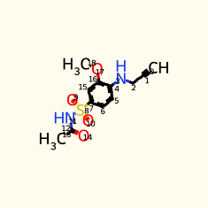 C#CCNc1ccc(S(=O)(=O)NC(C)=O)cc1OC